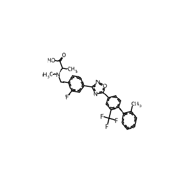 Cc1ccccc1-c1ccc(-c2nc(-c3ccc(CN(C)C(C)C(=O)O)c(F)c3)no2)cc1C(F)(F)F